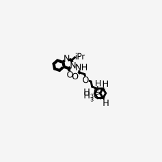 CC(C)c1nc2ccccc2c(=O)n1NC(=O)COCC[C@@H]1CC[C@H]2C[C@H]1C2(C)C